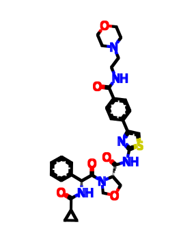 O=C(NCCN1CCOCC1)c1ccc(-c2csc(NC(=O)[C@@H]3COCN3C(=O)[C@H](NC(=O)C3CC3)c3ccccc3)n2)cc1